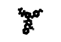 COc1ccc(Sc2ccc(S(=O)(=O)N(C)C(C)C)cc2C(=O)NC(Cc2ccccc2)C(N)=O)cc1